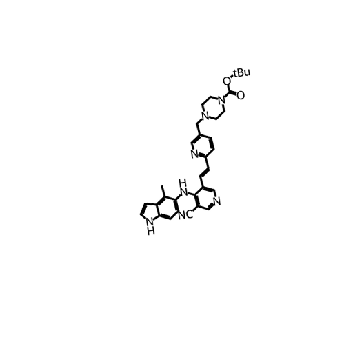 Cc1c(Nc2c(C#N)cncc2C=Cc2ccc(CN3CCN(C(=O)OC(C)(C)C)CC3)cn2)ccc2[nH]ccc12